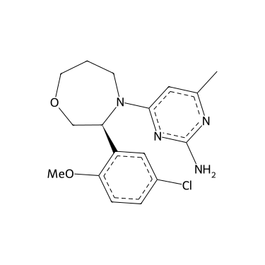 COc1ccc(Cl)cc1[C@H]1COCCCN1c1cc(C)nc(N)n1